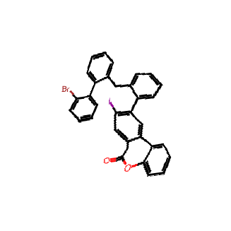 O=c1oc2ccccc2c2cc(-c3ccccc3Cc3ccccc3-c3ccccc3Br)c(I)cc12